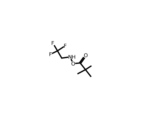 CC(C)(C)C(=O)ONCC(F)(F)F